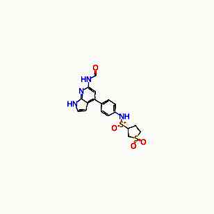 O=CNc1cc(-c2ccc(N[S+]([O-])C3CCS(=O)(=O)C3)cc2)c2cc[nH]c2n1